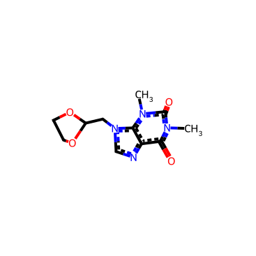 Cn1c(=O)c2ncn(CC3OCCO3)c2n(C)c1=O